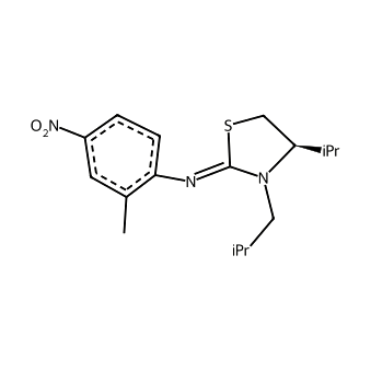 Cc1cc([N+](=O)[O-])ccc1/N=C1\SC[C@@H](C(C)C)N1CC(C)C